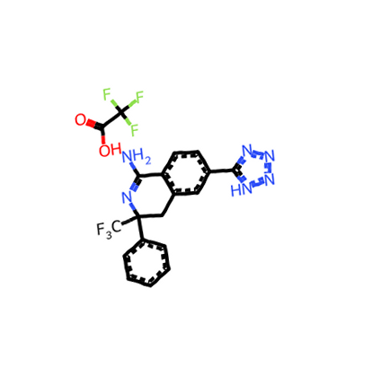 NC1=NC(c2ccccc2)(C(F)(F)F)Cc2cc(-c3nnn[nH]3)ccc21.O=C(O)C(F)(F)F